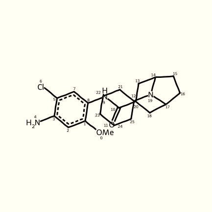 COc1cc(N)c(Cl)cc1NC(=O)C1CC2CCC(C1)N2C1CCCCC1